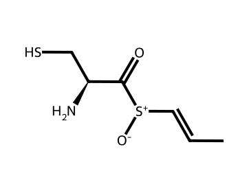 C/C=C/[S+]([O-])C(=O)[C@@H](N)CS